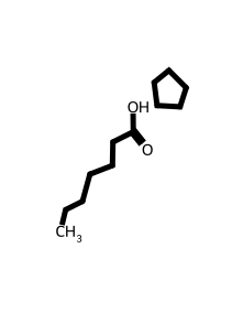 C1CCCC1.CCCCCCC(=O)O